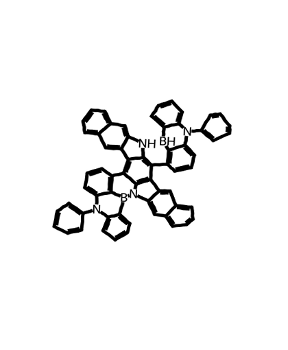 B1c2ccccc2N(c2ccccc2)c2cccc(-c3c4[nH]c5cc6ccccc6cc5c4c4c5c3c3cc6ccccc6cc3n5B3c5ccccc5N(c5ccccc5)c5cccc-4c53)c21